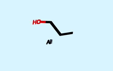 CCCO.[Al]